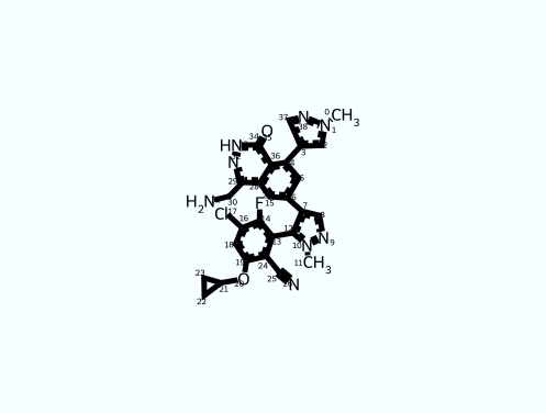 Cn1cc(-c2cc(-c3cnn(C)c3-c3c(F)c(Cl)cc(OC4CC4)c3C#N)cc3c(CN)n[nH]c(=O)c23)cn1